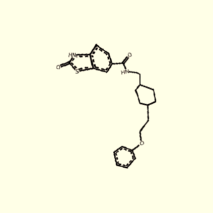 O=C(NCC1CCC(CCOc2ccccc2)CC1)c1ccc2[nH]c(=O)sc2c1